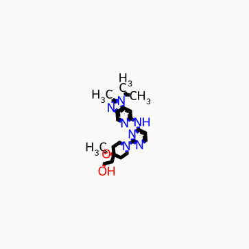 COC1(CCO)CCN(c2nccc(Nc3cc4c(cn3)nc(C)n4C(C)C)n2)CC1